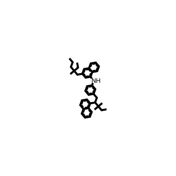 CCCC(C)(CC)Cc1cc(Nc2cccc(CC(c3cccc4ccccc34)C(C)(C)CC)c2)c2ccccc2c1